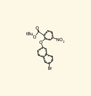 CC(C)(C)OC(=O)c1ccc([N+](=O)[O-])cc1Oc1ccc2cc(Br)ccc2c1